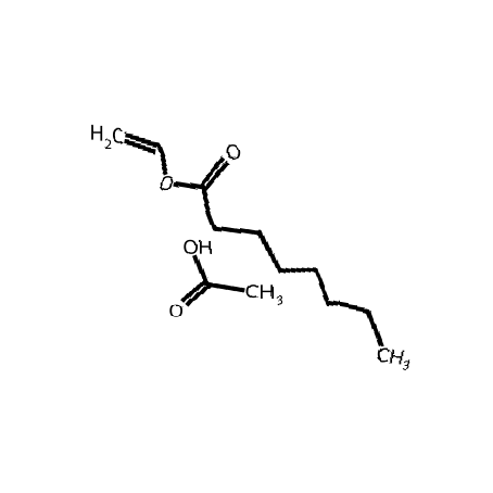 C=COC(=O)CCCCCCC.CC(=O)O